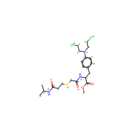 COC(=O)C(Cc1ccc(N(CCCl)CCCl)cc1)NC(=O)CSCCC(=O)NC(C)C